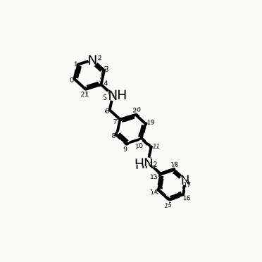 c1cncc(NCc2ccc(CNc3cccnc3)cc2)c1